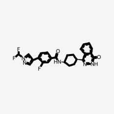 O=C(N[C@H]1CC[C@H](c2n[nH]c(=O)c3ccccc32)CC1)c1ccc(-c2cnn(C(F)F)c2)c(F)c1